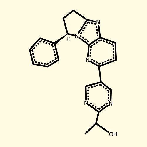 CC(O)c1ncc(-c2ccc3nc4n(c3n2)[C@@H](c2ccccc2)CC4)cn1